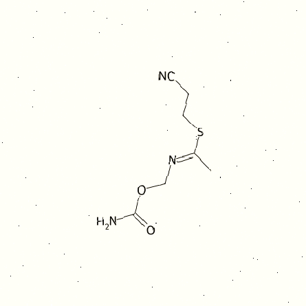 CC(=NCOC(N)=O)SCCC#N